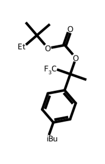 CCC(C)c1ccc(C(C)(OC(=O)OC(C)(C)CC)C(F)(F)F)cc1